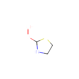 OO[C]1NCCS1